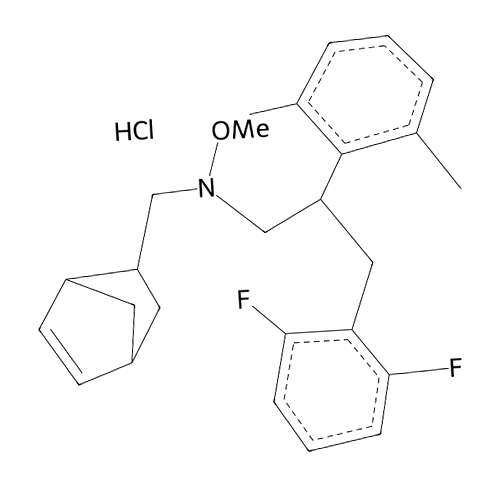 CON(CC(Cc1c(F)cccc1F)c1c(C)cccc1C)CC1CC2C=CC1C2.Cl